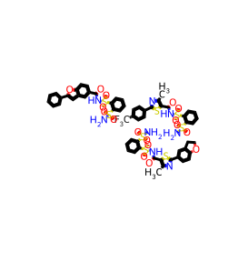 Cc1nc(-c2ccc(C(F)(F)F)cc2)sc1C(=O)NS(=O)(=O)c1ccccc1S(N)(=O)=O.Cc1nc(-c2ccc3c(c2)CCO3)sc1C(=O)NS(=O)(=O)c1ccccc1S(N)(=O)=O.NS(=O)(=O)c1ccccc1S(=O)(=O)NC(=O)c1ccc2oc(-c3ccccc3)cc2c1